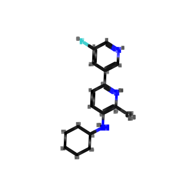 Fc1cncc(-c2ccc(NC3CCCCC3)c(C(F)(F)F)n2)c1